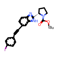 CC(C)(C)OC(=O)N1CCC[C@H]1c1nc2ccc(C#Cc3ccc(I)cc3)cc2[nH]1